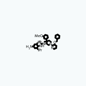 COc1cccc(C2(CNC(=O)Nc3c(C(C)C)cc(N)cc3C(C)C)CCN(c3ncccc3OCc3ccccc3)CC2)c1